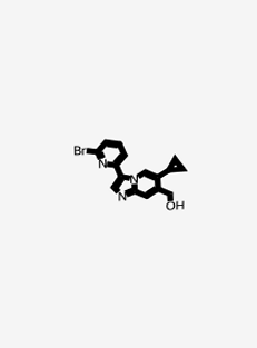 OCc1cc2ncc(-c3cccc(Br)n3)n2cc1C1CC1